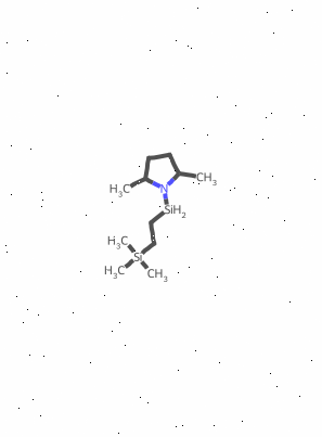 CC1CCC(C)N1[SiH2]CC[Si](C)(C)C